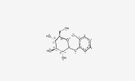 OC[C@H]1OC(Oc2ccccc2Cl)[C@H](O)[C@@H](O)[C@@H]1O